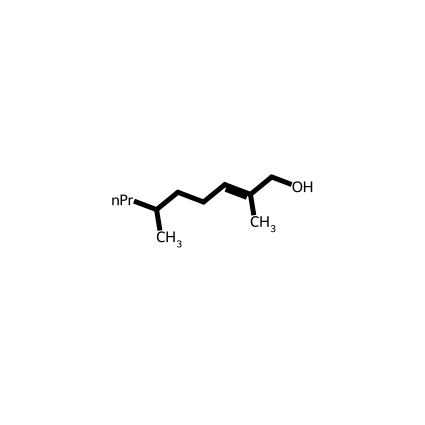 CCCC(C)CC/C=C(\C)CO